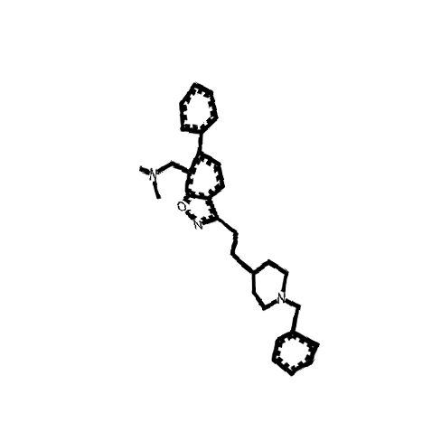 CN(C)Cc1c(-c2ccccc2)ccc2c(CCC3CCN(Cc4ccccc4)CC3)noc12